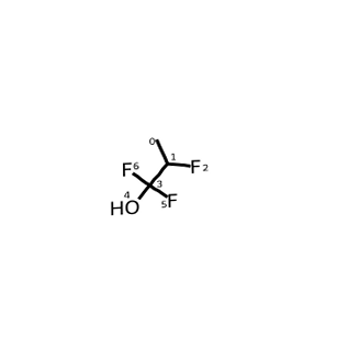 CC(F)C(O)(F)F